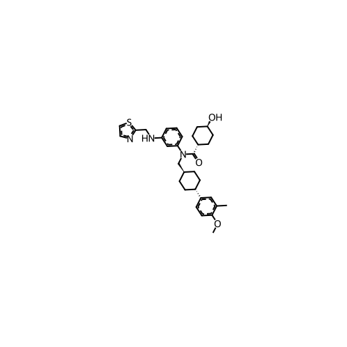 COc1ccc([C@H]2CC[C@H](CN(c3cccc(NCc4nccs4)c3)C(=O)[C@H]3CC[C@H](O)CC3)CC2)cc1C